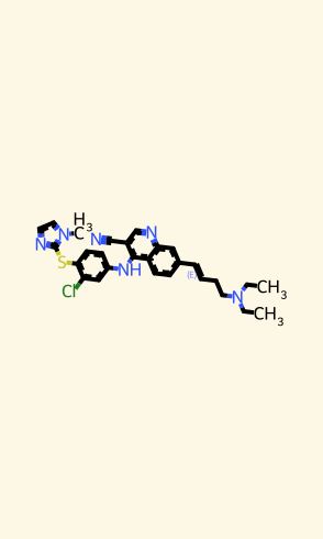 CCN(CC)CC/C=C/c1ccc2c(Nc3ccc(Sc4nccn4C)c(Cl)c3)c(C#N)cnc2c1